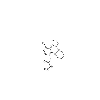 CNC(=O)Cc1ccc(Cl)c(Cl)c1[C@@H]1CCCC[C@H]1N1CCCC1